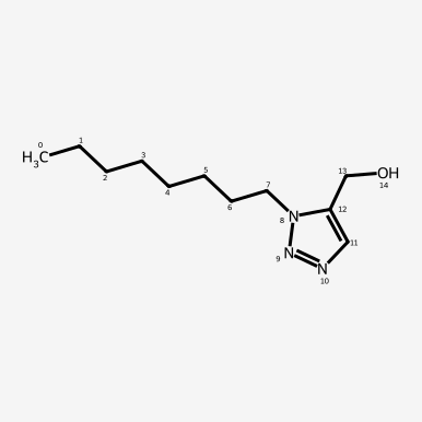 CCCCCCCCn1nncc1CO